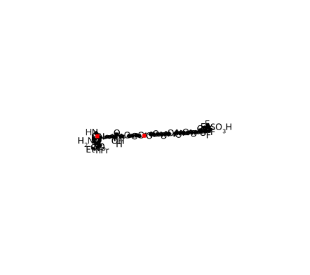 CCCN(OCC)C(=O)C1=CC(NCCCC[C@H](O)C(=O)NCCOCCOCCOCCOCCOCCOCCOCCOCCOCCOCCC(=O)Oc2c(F)c(F)c(S(=O)(=O)O)c(F)c2F)=C(C=N)N=C(N)C1